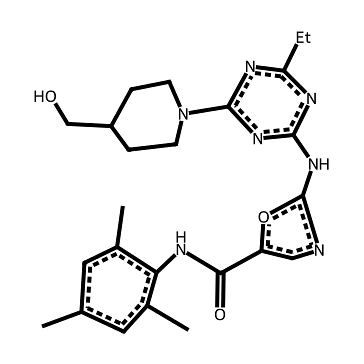 CCc1nc(Nc2ncc(C(=O)Nc3c(C)cc(C)cc3C)o2)nc(N2CCC(CO)CC2)n1